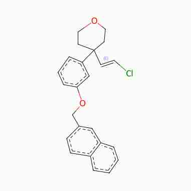 Cl/C=C/C1(c2cccc(OCc3ccc4ccccc4c3)c2)CCOCC1